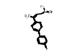 C/C(=C/CN(C(C)C)C(C)C)c1ccc(-c2ccc(F)cc2)cc1